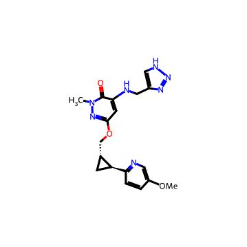 COc1ccc([C@H]2C[C@@H]2COc2cc(NCc3c[nH]nn3)c(=O)n(C)n2)nc1